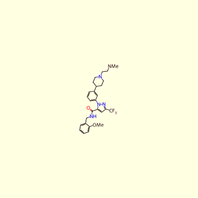 CNCCN1CCC(c2cccc(-n3nc(C(F)(F)F)cc3C(=O)NCc3ccccc3OC)c2)CC1